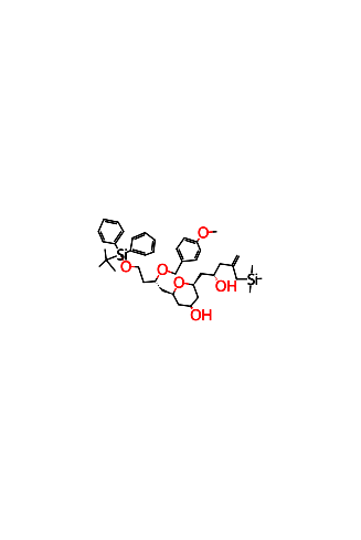 C=C(C[C@H](O)C[C@H]1C[C@@H](O)C[C@@H](C[C@H](CCO[Si](c2ccccc2)(c2ccccc2)C(C)(C)C)OCc2ccc(OC)cc2)O1)C[Si](C)(C)C